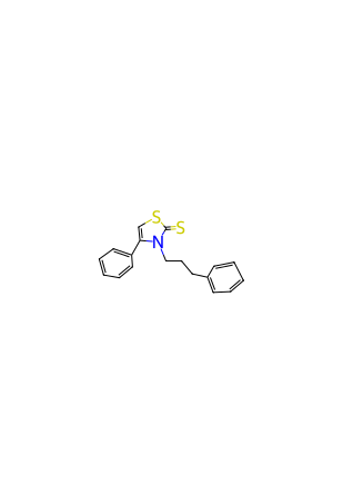 S=c1scc(-c2ccccc2)n1CCCc1ccccc1